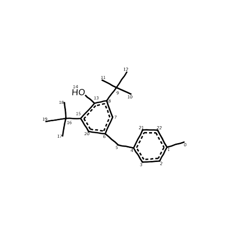 Cc1ccc(Cc2cc(C(C)(C)C)c(O)c(C(C)(C)C)c2)cc1